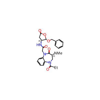 CCC(=O)N1C[C@H](NC)C(=O)N(CC(=O)N[C@H]2CC(=O)OC2OCc2ccccc2)c2ccccc21